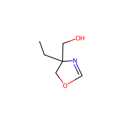 CCC1(CO)COC=N1